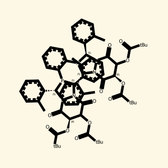 Cc1ccccc1[C@H]1N2C(=O)C(OC(=O)C(C)(C)C)[C@@H](OC(=O)C(C)(C)C)C(=O)N2[C@H](c2ccccc2C)P1c1ccccc1P1[C@@H](c2ccccc2C)N2C(=O)C(OC(=O)C(C)(C)C)[C@@H](OC(=O)C(C)(C)C)C(=O)N2[C@@H]1c1ccccc1C